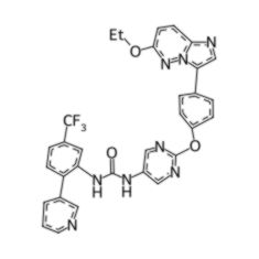 CCOc1ccc2ncc(-c3ccc(Oc4ncc(NC(=O)Nc5cc(C(F)(F)F)ccc5-c5cccnc5)cn4)cc3)n2n1